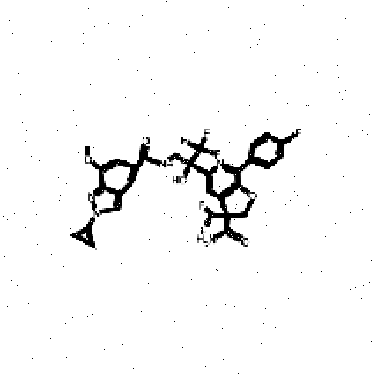 COc1cc(C(=O)NCC(O)(c2cc3c(c(-c4ccc(F)cc4)n2)OCC3(C(N)=O)C(F)F)C(F)(F)F)cc2cn(C3CC3)nc12